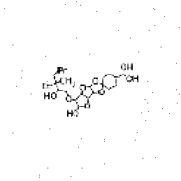 CCC(C)(CC(C)C)C(O)COC1C2OC3OC4(CCC(C(O)O)CC4)OC3C2O[C@H]1O